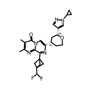 Cc1nc2c(C34CC(C(F)F)(C3)C4)nc([C@H]3CCO[C@@H](c4cnn(C5CC5)c4)C3)cn2c(=O)c1C